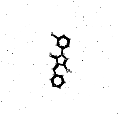 CC1=NN(c2cccc(Cl)c2)C(=O)/C1=C/c1ccccc1